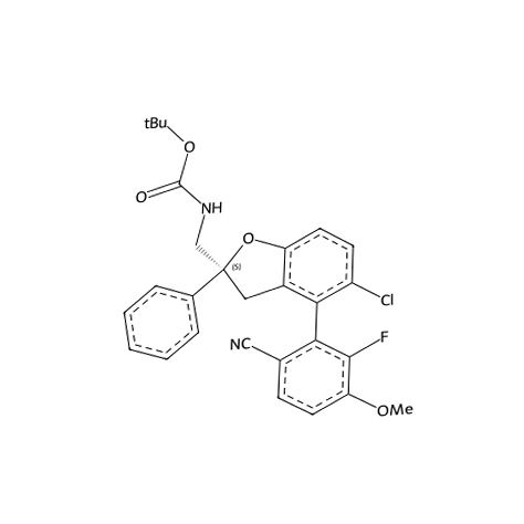 COc1ccc(C#N)c(-c2c(Cl)ccc3c2C[C@@](CNC(=O)OC(C)(C)C)(c2ccccc2)O3)c1F